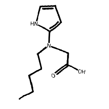 CCCCCN(CC(=O)O)c1ccc[nH]1